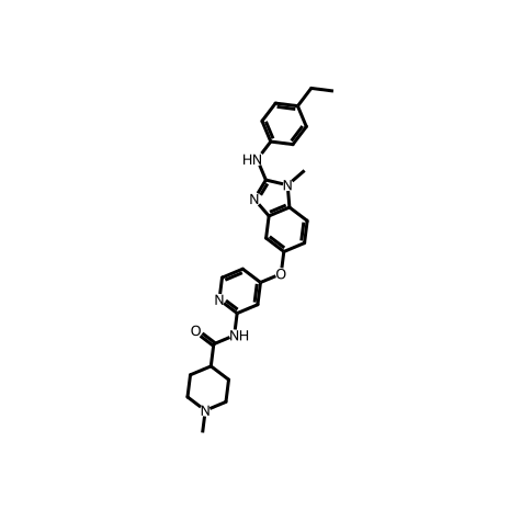 CCc1ccc(Nc2nc3cc(Oc4ccnc(NC(=O)C5CCN(C)CC5)c4)ccc3n2C)cc1